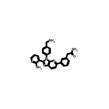 NCc1ccc(-n2c(-c3cccnc3N)nc3ccc(-c4cccc(CC(N)=O)c4)nc32)cc1